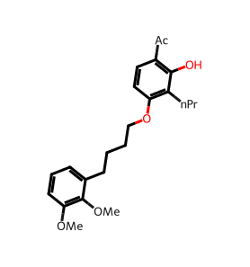 CCCc1c(OCCCCc2cccc(OC)c2OC)ccc(C(C)=O)c1O